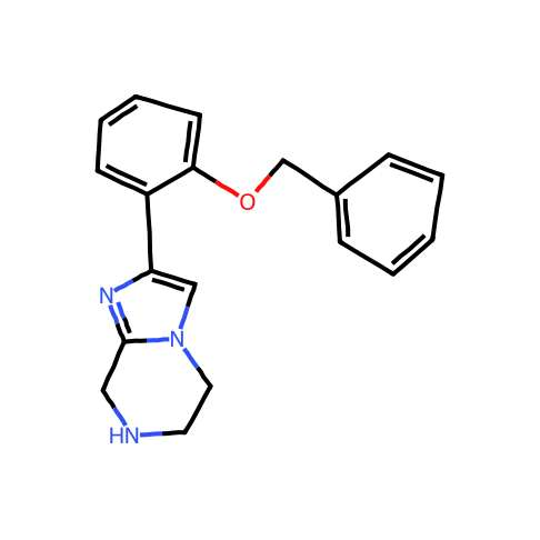 c1ccc(COc2ccccc2-c2cn3c(n2)CNCC3)cc1